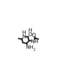 CC(=O)NC1C(N)CC(C)NC1O